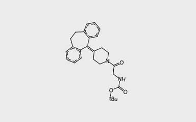 CC(C)(C)OC(=O)NCC(=O)N1CCC(=C2c3ccccc3CCc3ccccc32)CC1